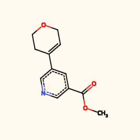 COC(=O)c1cncc(C2=CCOCC2)c1